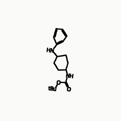 CC(C)(C)OC(=O)NC1CCC(Nc2ccccc2)CC1